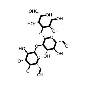 O=C[C@H](O)[C@@H](O)[C@H](O[C@@H]1O[C@H](CO)[C@@H](O)[C@H](O)[C@H]1O[C@H]1O[C@H](CO)[C@@H](O)[C@H](O)[C@H]1O)[C@H](O)CO